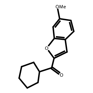 COc1ccc2cc(C(=O)C3CCCCC3)oc2c1